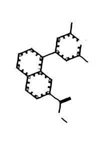 COC(=O)c1ccc2cccc(-c3cc(C)nc(C)c3)c2c1